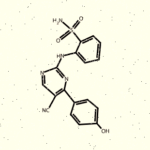 N#Cc1cnc(Nc2ccccc2S(N)(=O)=O)nc1-c1ccc(O)cc1